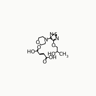 CC(O)COc1nsnc1N1CCOCC1.O=C(O)C=CC(=O)O